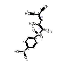 C#C/C(C#N)=C\C(C)=C(/C)S(=O)(=O)c1ccc([N+](=O)[O-])cc1